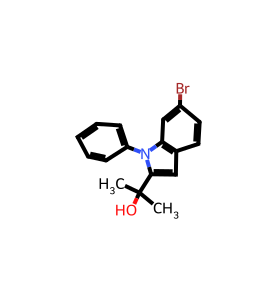 CC(C)(O)c1cc2ccc(Br)cc2n1-c1ccccc1